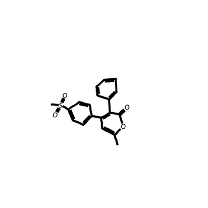 Cc1cc(-c2ccc(S(C)(=O)=O)cc2)c(-c2ccccc2)c(=O)o1